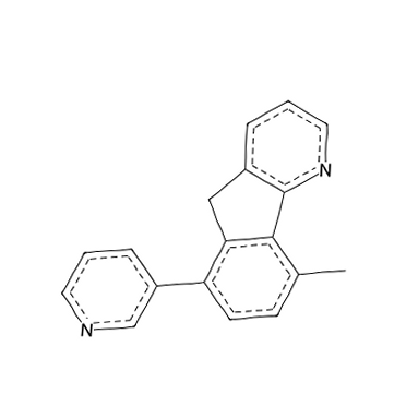 Cc1ccc(-c2cccnc2)c2c1-c1ncccc1C2